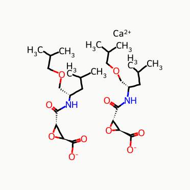 CC(C)COC[C@H](CC(C)C)NC(=O)[C@H]1O[C@@H]1C(=O)[O-].CC(C)COC[C@H](CC(C)C)NC(=O)[C@H]1O[C@@H]1C(=O)[O-].[Ca+2]